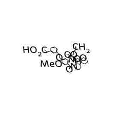 C=CCOC(=O)N1c2cc(OCc3cccc(CC(=O)O)c3)c(OC)cc2C(=O)N2CCCC[C@H]2C1OC1CCCCO1